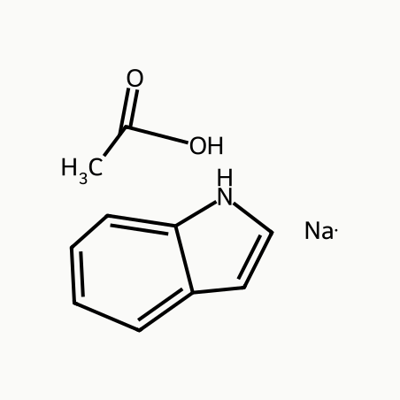 CC(=O)O.[Na].c1ccc2[nH]ccc2c1